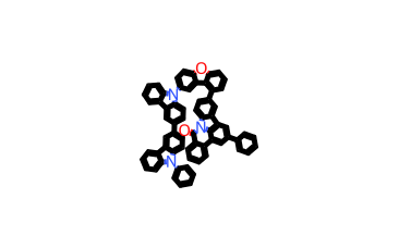 O=c1c2ccccc2c2cc(-c3ccccc3)cc3c4cc(-c5cccc6oc7ccc(-n8c9ccccc9c9cc(-c%10ccc%11c(c%10)c%10ccccc%10n%11-c%10ccccc%10)ccc98)cc7c56)ccc4n1c23